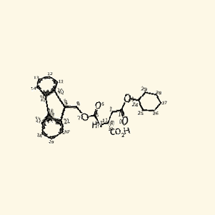 O=C(C[C@@H](NC(=O)OCC1c2ccccc2-c2ccccc21)C(=O)O)OC1CCCCC1